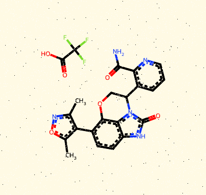 Cc1noc(C)c1-c1ccc2[nH]c(=O)n3c2c1OCC3c1cccnc1C(N)=O.O=C(O)C(F)(F)F